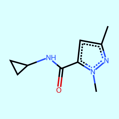 Cc1cc(C(=O)NC2CC2)n(C)n1